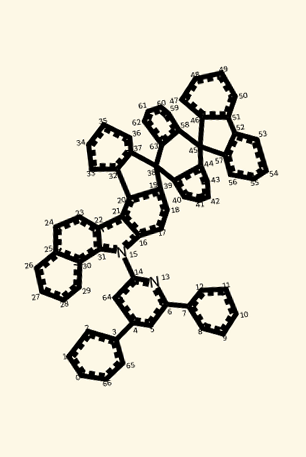 c1ccc(-c2cc(-c3ccccc3)nc(-n3c4ccc5c(c4c4ccc6ccccc6c43)-c3ccccc3C53c4ccccc4C4(c5ccccc5-c5ccccc54)c4ccccc43)c2)cc1